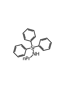 CCCN[Si](c1ccccc1)(c1ccccc1)c1ccccc1